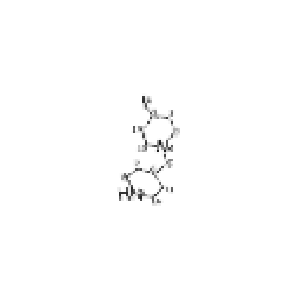 IC1CCN(CC2CCNCC2)CC1